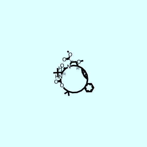 COC(=O)[C@@H]1C[C@]2(OC)CN1C(=O)[C@H](C(C)(C)C)NC(=O)OCC(C)(C)CCCc1ccccc1-c1ccc2cc1